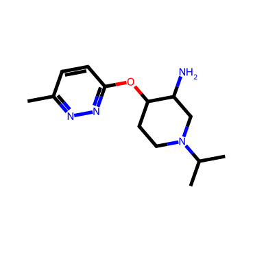 Cc1ccc(OC2CCN(C(C)C)CC2N)nn1